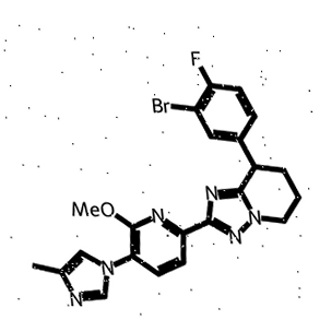 COc1nc(-c2nc3n(n2)CCCC3c2ccc(F)c(Br)c2)ccc1-n1cnc(C)c1